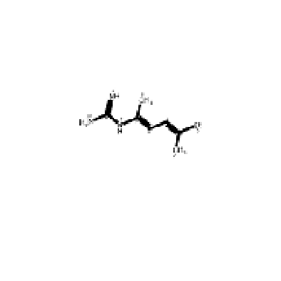 CC/C(C)=C/C=C(\C)NC(=N)N